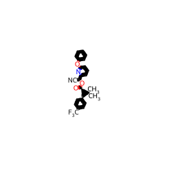 CC1(C)[C@H](C(=O)OC(C#N)c2cccc(Oc3ccccc3)n2)[C@H]1c1ccc(C(F)(F)F)cc1